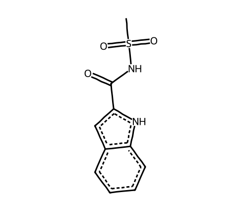 CS(=O)(=O)NC(=O)c1cc2ccccc2[nH]1